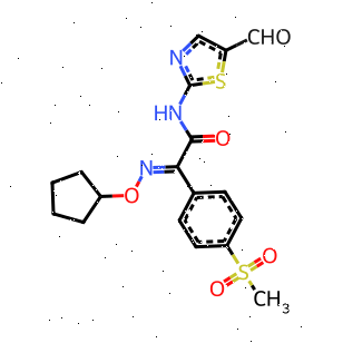 CS(=O)(=O)c1ccc(/C(=N\OC2CCCC2)C(=O)Nc2ncc(C=O)s2)cc1